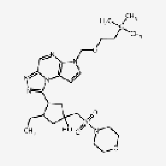 CCC1CC(O)(CS(=O)(=O)N2CCOCC2)CC1c1nnc2cnc3c(ccn3COCC[Si](C)(C)C)n12